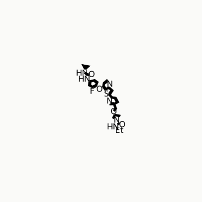 CCNC(=O)N1CC(OCc2ccc(-c3cc4nccc(Oc5ccc(NC(=O)NC6CC6)cc5F)c4s3)nc2)C1